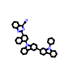 N#Cc1nc(-c2ccc(-n3c4ccccc4c4cc(-c5ccc6c7ccccc7n(-c7ccccc7)c6c5)ccc43)c3ccccc23)nc2ccccc12